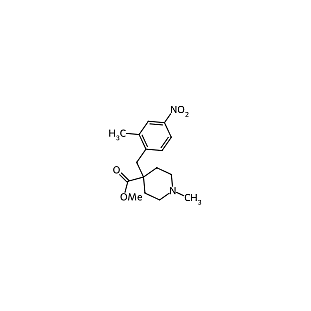 COC(=O)C1(Cc2ccc([N+](=O)[O-])cc2C)CCN(C)CC1